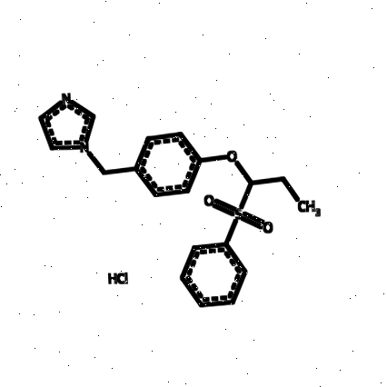 CCC(Oc1ccc(Cn2ccnc2)cc1)S(=O)(=O)c1ccccc1.Cl